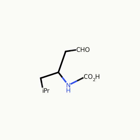 CC(C)CC(CC=O)NC(=O)O